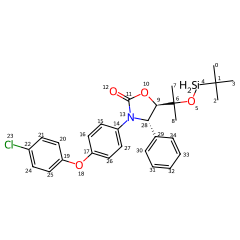 CC(C)(C)[SiH2]OC(C)(C)[C@@H]1OC(=O)N(c2ccc(Oc3ccc(Cl)cc3)cc2)[C@H]1c1ccccc1